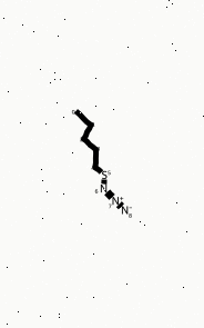 CCCCCSN=[N+]=[N-]